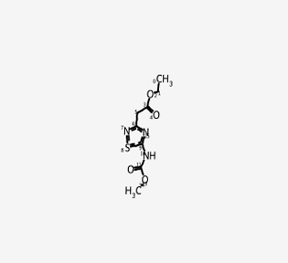 CCOC(=O)Cc1nsc(NC(=O)OC)n1